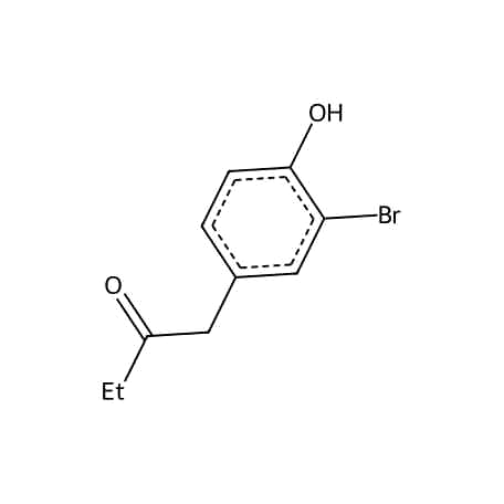 CCC(=O)Cc1ccc(O)c(Br)c1